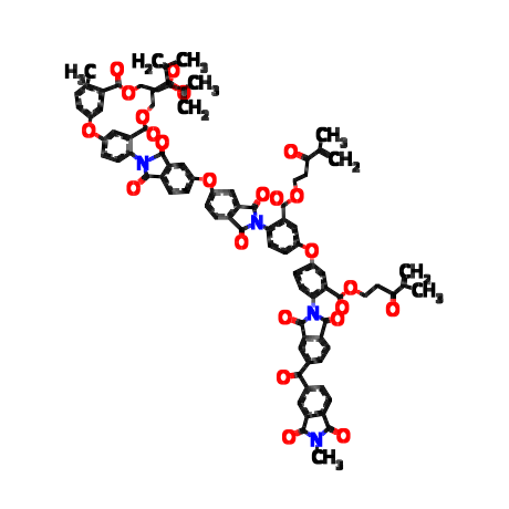 C=C(C)C(=O)CCOC(=O)c1cc(Oc2ccc(N3C(=O)c4ccc(Oc5ccc6c(c5)C(=O)N(c5ccc(Oc7ccc(N8C(=O)c9ccc(C(=O)c%10ccc%11c(c%10)C(=O)N(C)C%11=O)cc9C8=O)c(C(=O)OCCC(=O)C(=C)C)c7)cc5C(=O)OCCC(=O)C(=C)C)C6=O)cc4C3=O)c(C(=O)OCCC(=O)C(=C)C)c2)ccc1C